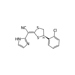 N#CC(=C1SC[C@@H](c2ccccc2Cl)S1)c1ncc[nH]1